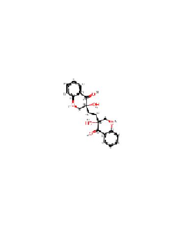 O=C1c2ccccc2OCC1(O)CCC1(O)COc2ccccc2C1=O